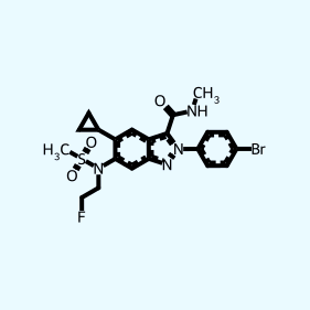 CNC(=O)c1c2cc(C3CC3)c(N(CCF)S(C)(=O)=O)cc2nn1-c1ccc(Br)cc1